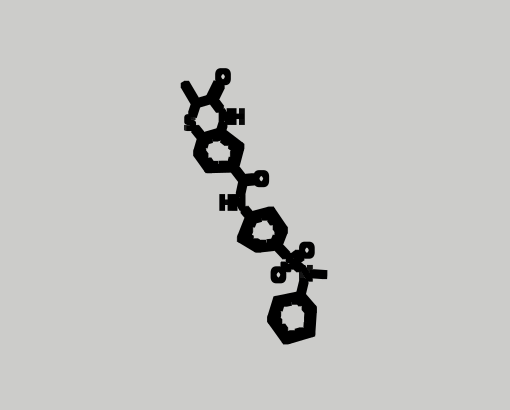 CC1Sc2ccc(C(=O)Nc3ccc(S(=O)(=O)N(C)c4ccccc4)cc3)cc2NC1=O